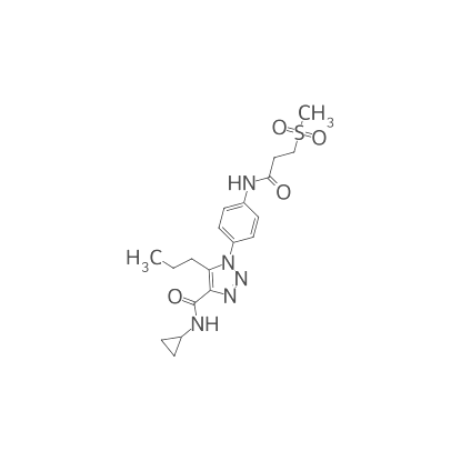 CCCc1c(C(=O)NC2CC2)nnn1-c1ccc(NC(=O)CCS(C)(=O)=O)cc1